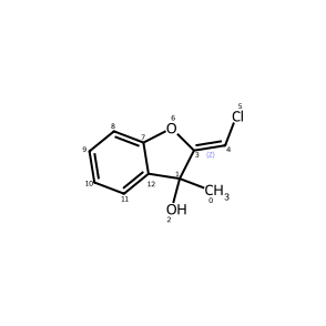 CC1(O)/C(=C/Cl)Oc2ccccc21